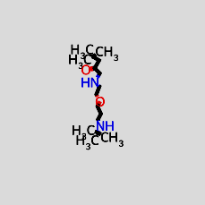 CC(C)(C)CC(=O)CNCCOCCCNC(C)(C)C